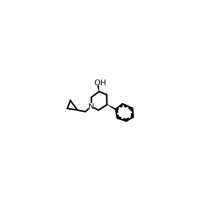 O[C@H]1C[C@@H](c2ccccc2)CN(CC2CC2)C1